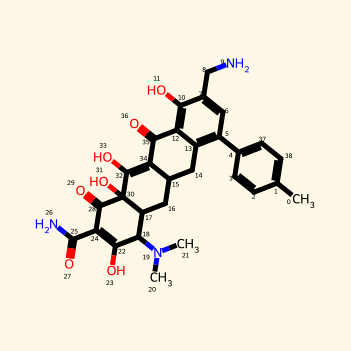 Cc1ccc(-c2cc(CN)c(O)c3c2CC2CC4C(N(C)C)C(O)=C(C(N)=O)C(=O)C4(O)C(O)=C2C3=O)cc1